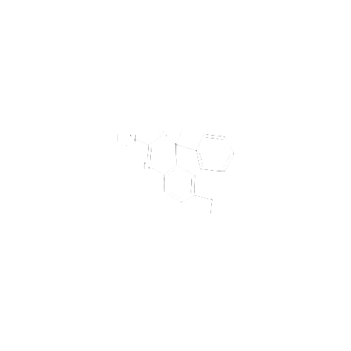 CC1(c2ccccc2)OC(N)=Nc2ccc(CI)cc21